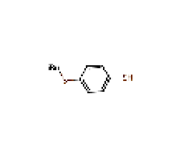 CCC(C)Sc1ccc(S)cc1